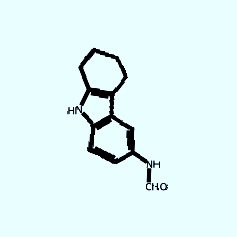 O=CNc1ccc2[nH]c3c(c2c1)CCCC3